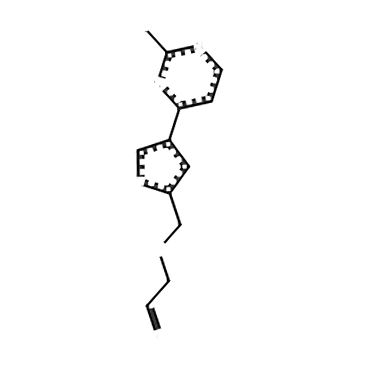 C=CCOCc1cc(-c2ccnc(Cl)n2)cs1